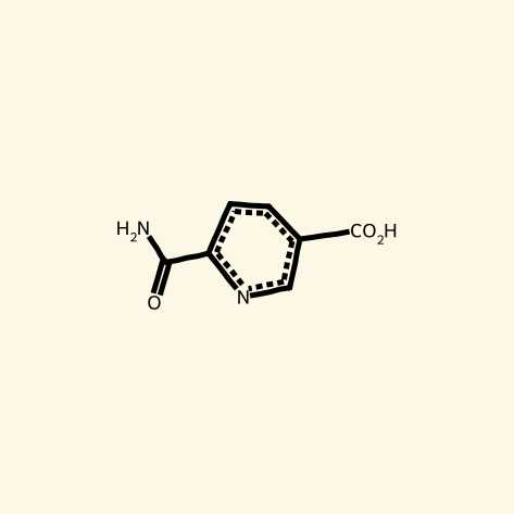 NC(=O)c1ccc(C(=O)O)cn1